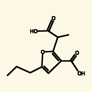 CCCc1cc(C(=O)O)c(C(C)C(=O)O)o1